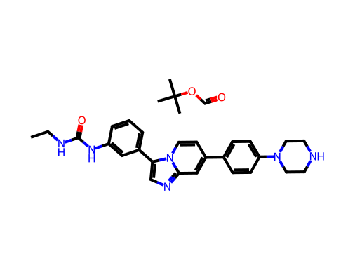 CC(C)(C)OC=O.CCNC(=O)Nc1cccc(-c2cnc3cc(-c4ccc(N5CCNCC5)cc4)ccn23)c1